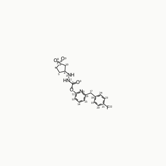 O=C(NNC1CCS(=O)(=O)C1)Oc1cccc(Cc2ccc(F)cc2)n1